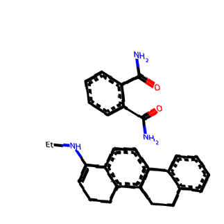 CCNC1=CCCc2c1ccc1c2CCc2ccccc2-1.NC(=O)c1ccccc1C(N)=O